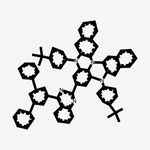 CC(C)(C)c1ccc(N2c3cc4ccccc4cc3B3c4cc5ccccc5cc4N(c4ccc(C(C)(C)C)cc4)c4cc(-c5nc(-c6cc(-c7ccccc7)cc(-c7ccccc7)c6)c6ccccc6n5)cc2c43)cc1